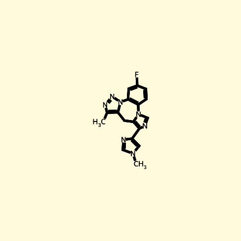 Cc1nnn2c1Cc1c(-c3cn(C)cn3)ncn1-c1ccc(F)cc1-2